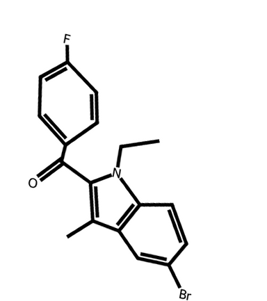 CCn1c(C(=O)c2ccc(F)cc2)c(C)c2cc(Br)ccc21